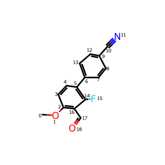 COc1ccc(-c2ccc(C#N)cc2)c(F)c1C=O